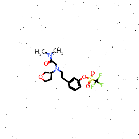 CN(C)C(=O)CN(CCc1cccc(OS(=O)(=O)C(F)(F)F)c1)C1CCOC1